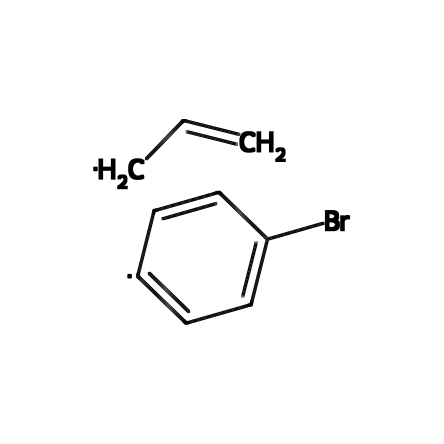 Brc1cc[c]cc1.[CH2]C=C